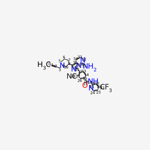 CC#CCN1CCCC(c2nc(-c3ccc(C(=O)Nc4cc(C(F)(F)F)ccn4)cc3C#N)n3c(N)nccc23)C1